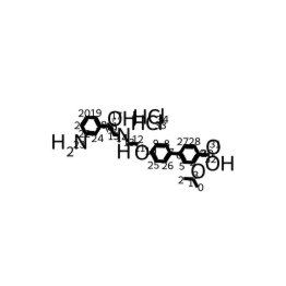 CC(C)Oc1cc(-c2ccc(OCCNC[C@@H](O)c3cccc(N)c3)cc2)ccc1C(=O)O.Cl.Cl